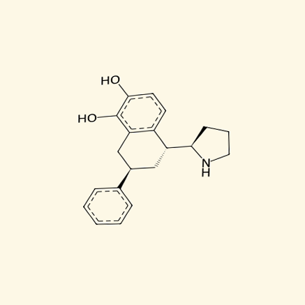 Oc1ccc2c(c1O)C[C@H](c1ccccc1)C[C@H]2[C@H]1CCCN1